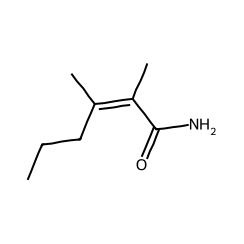 CCC/C(C)=C(/C)C(N)=O